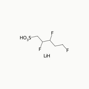 O=S(=O)(O)CC(F)C(F)CCF.[LiH]